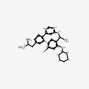 NC(Cc1ccc(-c2cc(OC(c3ccc(F)cc3OC3CCCCC3)C(F)(F)F)ncn2)cc1)C(=O)O